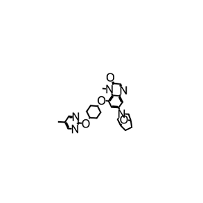 Cc1cnc(O[C@H]2CC[C@@H](Oc3cc(N4CC5CCC(C4)O5)cc4ncc(=O)n(C)c34)CC2)nc1